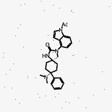 CC(=O)n1ccc2c(N3C[C@]4(CC[C@@](c5ccccc5)(N(C)C)CC4)NC3=O)cccc21